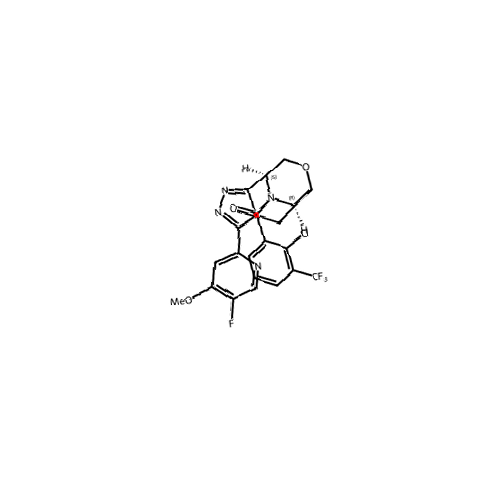 COc1cc(-c2nnc3n2C[C@@H]2COC[C@H]3N2C(=O)c2cccc(C(F)(F)F)c2Cl)ncc1F